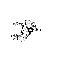 CC(C)(C)c1cc(CSCC(=O)O)cc(CSCC(=O)O)c1O.CCCCCCCCCCCCNCCCCCCCCCCCC